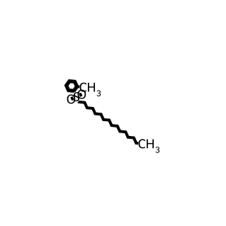 CCCCCCCCCCCCCCCCS(=O)(=O)c1ccccc1C